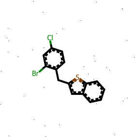 Clc1ccc(Cc2cc3ccccc3s2)c(Br)c1